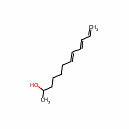 C=CC=CC=CCCCCC(C)O